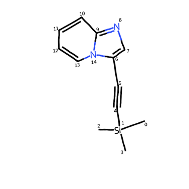 C[Si](C)(C)C#Cc1cnc2ccccn12